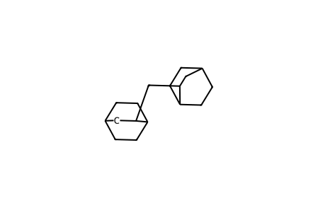 C1CC2CCC1CC2CC1CC2CCC1CC2